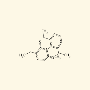 CCc1cccc(C(C)C)c1-n1c(=O)ccn(CC)c1=S